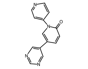 O=c1ccc(-c2cncnc2)cn1-c1ccncc1